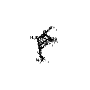 COCCOCCOCC(=O)OCC(COCC(COCC(C)(COC)COCC(O)COCC(COCC(COC(=O)OCCOc1ccc(C(=O)C(C)(C)C)cc1)OC(=O)COCCOCCOC)OC(=O)COCCOCCOC)OC(=O)COCCOCCOC)OC(=O)OCCOc1ccc(C(=O)C(C)(C)O)cc1